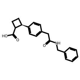 O=C(Cc1ccc([C@@H]2CCC2C(=O)O)cc1)NCc1ccccc1